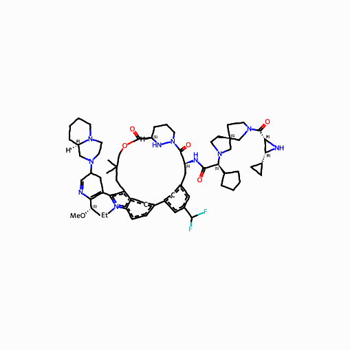 CCn1c(C2=C([C@H](C)OC)N=CC(N3CCN4CCCC[C@@H]4C3)C2)c2c3cc(ccc31)-c1cc(cc(C(F)F)c1)C[C@H](NC(=O)[C@H](C1CCCC1)N1CC[C@]3(CCN(C(=O)[C@@H]4N[C@@H]4C4CC4)C3)C1)C(=O)N1CCC[C@H](N1)C(=O)OCC(C)(C)C2